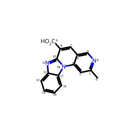 Cc1cc2c(cn1)cc(C(=O)O)c1nc3ccccc3n12